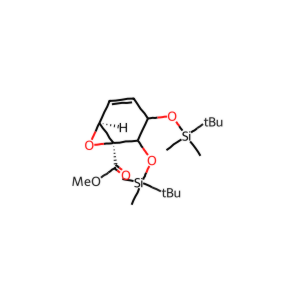 COC(=O)[C@]12O[C@H]1C=CC(O[Si](C)(C)C(C)(C)C)C2O[Si](C)(C)C(C)(C)C